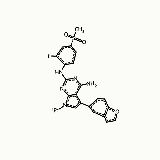 CC(C)n1cc(-c2ccc3occc3c2)c2c(N)nc(Nc3ccc(S(C)(=O)=O)cc3F)nc21